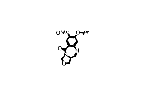 COc1cc2c(cc1OC(C)C)N=CC1COCN1C2=O